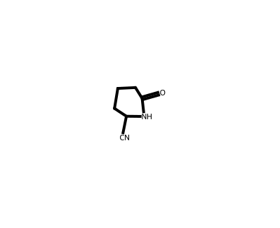 N#CC1CCCC(=O)N1